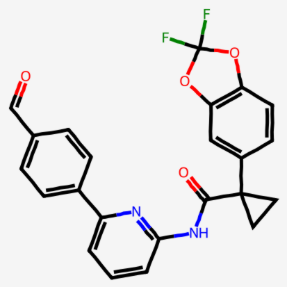 O=Cc1ccc(-c2cccc(NC(=O)C3(c4ccc5c(c4)OC(F)(F)O5)CC3)n2)cc1